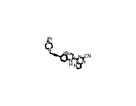 CC(C)N1CCN(CC#Cc2ccc(NN(CC(C)(C)C)c3nc(C#N)nc4ccnn34)cc2)CC1